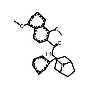 COc1cccc2c(OC)c(C(=O)NC3CC4CCC(C3)N4Cc3ccccc3)ccc12